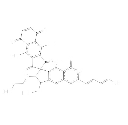 C/C=C/C=C/c1cc2cc3c(c(O)c2c(=O)[nH]1)C1(C(=O)c2c(O)c4c(c(O)c2C1=O)C(=O)C=CC4=O)C(SCCO)C3OC